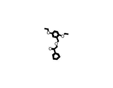 CCOc1ccc(OCC)c(COCC(=O)c2ccccc2)c1